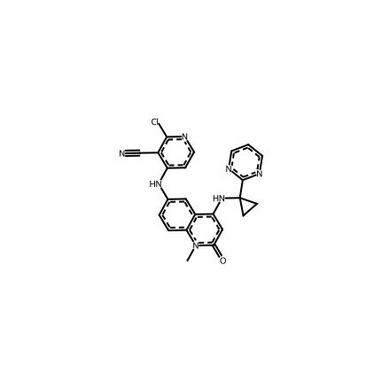 Cn1c(=O)cc(NC2(c3ncccn3)CC2)c2cc(Nc3ccnc(Cl)c3C#N)ccc21